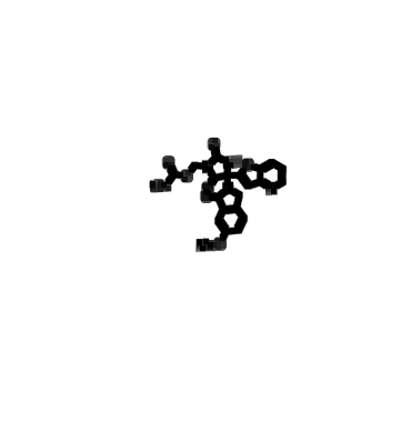 COc1ccc2c(c1)C(=O)N(C1(c3cc4ncccc4o3)NC(=O)N(COC(=O)C(C)(C)C)C1=O)C2